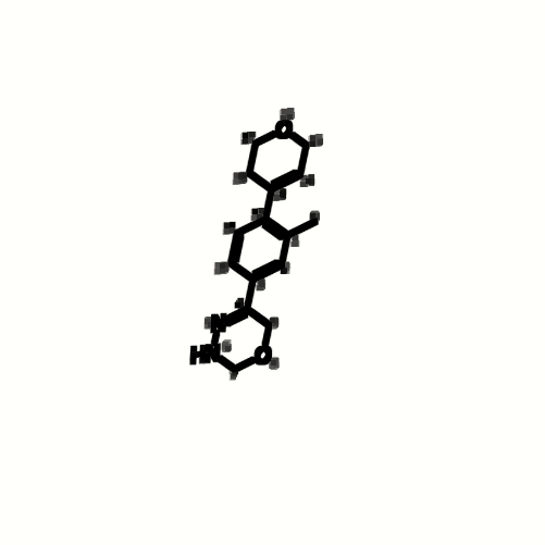 Cc1cc(C2=NNCOC2)ccc1C1=CCOCC1